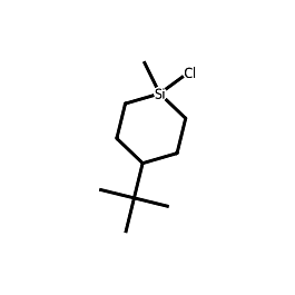 CC(C)(C)C1CC[Si](C)(Cl)CC1